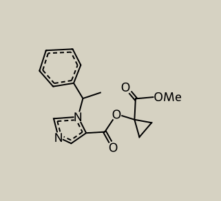 COC(=O)C1(OC(=O)c2cncn2C(C)c2ccccc2)CC1